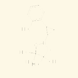 Cc1ccccc1C1CC1B1OC(C)(C)C(C)(C)O1